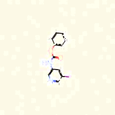 O=C(Nc1cncc(I)c1)Oc1ccccc1